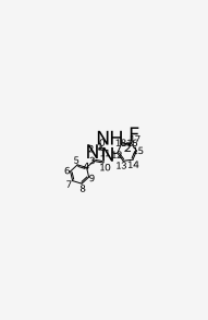 Nc1nc(-c2ccccc2)cn1-c1cccc(F)c1